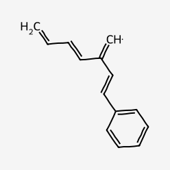 [CH]=C(C=CC=C)C=Cc1ccccc1